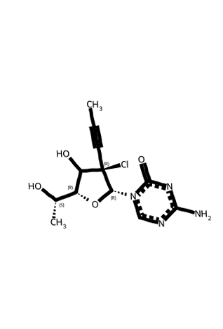 CC#C[C@@]1(Cl)C(O)[C@@H]([C@H](C)O)O[C@H]1n1cnc(N)nc1=O